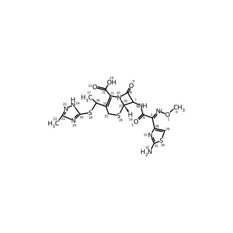 CON=C(C(=O)NC1C(=O)N2C(C(=O)O)=C(C(C)Sc3nc(C)n[nH]3)CS[C@@H]12)c1csc(N)n1